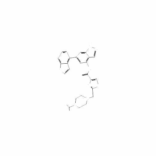 CCC(CC)N1CCN(Cc2nc(C(=O)Nc3cc(-c4cccc5[nH]ccc45)cc4[nH]ncc34)cs2)CC1